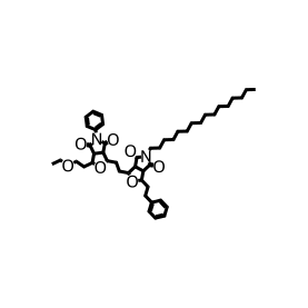 CCCCCCCCCCCCCCCCN1C(=O)C2C(CCc3ccccc3)OC(CCC3OC(CCOCC)C4C(=O)N(c5ccccc5)C(=O)C34)C2C1=O